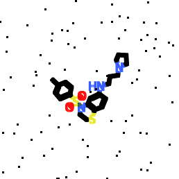 Cc1ccc(S(=O)(=O)N2CCSc3ccc(NCCCN4CCCC4)cc32)cc1